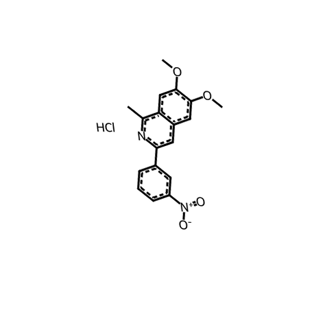 COc1cc2cc(-c3cccc([N+](=O)[O-])c3)nc(C)c2cc1OC.Cl